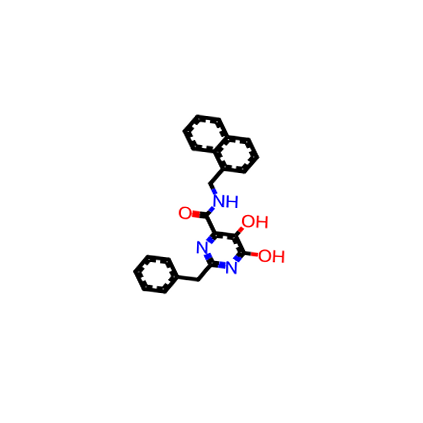 O=C(NCc1cccc2ccccc12)c1nc(Cc2ccccc2)nc(O)c1O